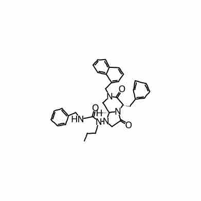 CCCN(C(=O)NCc1ccccc1)N1CC(=O)N2[C@@H](Cc3ccccc3)C(=O)N(Cc3cccc4ccccc34)C[C@@H]21